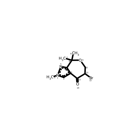 Cn1cc2c(n1)C(C)(C)OCC(Br)C2=O